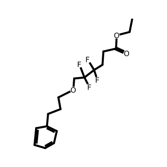 CCOC(=O)CCC(F)(F)C(F)(F)COCCCc1ccccc1